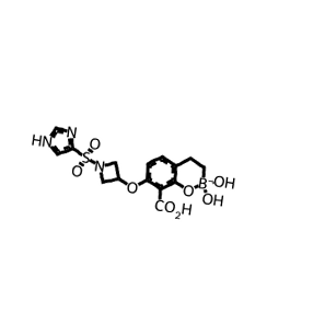 O=C(O)c1c(OC2CN(S(=O)(=O)c3c[nH]cn3)C2)ccc2c1O[B-](O)(O)CC2